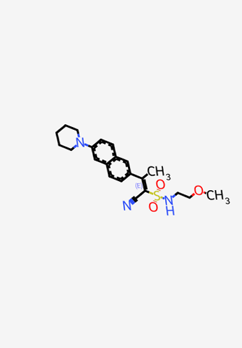 COCCNS(=O)(=O)/C(C#N)=C(\C)c1ccc2cc(N3CCCCC3)ccc2c1